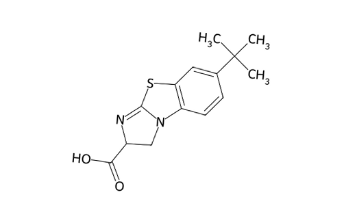 CC(C)(C)c1ccc2c(c1)SC1=NC(C(=O)O)CN12